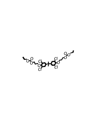 C=CCOC(=O)OCCCOc1c(Cl)cc(C(C)(C)c2cc(Cl)c(OCCCOC(=O)OCC=C)c(Cl)c2)cc1Cl